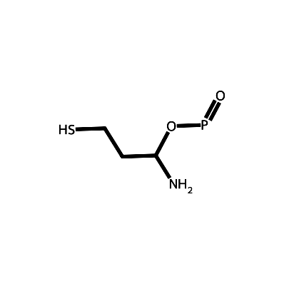 NC(CCS)OP=O